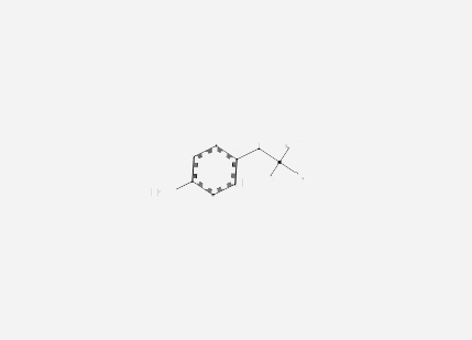 Cc1ccc(CC(N)(C(=O)O)C(C)(C)C)cc1